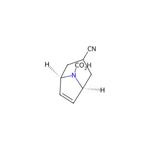 N#CC1C[C@H]2C=C[C@@H](C1)N2C(=O)O